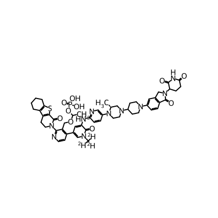 [2H]C([2H])([2H])n1cc(-c2ccnc(N3CCc4c(sc5c4CCCC5)C3=O)c2COC(C)OP(=O)(O)O)cc(Nc2ccc(N3CCN(C4CCN(c5ccc6c(c5)CN(C5CCC(=O)NC5=O)C6=O)CC4)C[C@@H]3C)cn2)c1=O